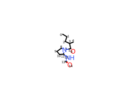 CCCC(C)C(=O)N1CCCC1NC=O